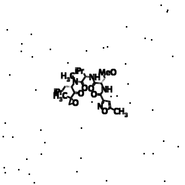 COC[C@H](NC(=O)c1cc(C)on1)C(=O)NC(C(=O)N(C)[C@@H](CC(C)C)C(=O)C1(C)CO1)C(C)C